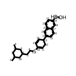 CC1CC(C)CC(CCSC2=CCC(c3ccc4cc(BO)ccc4c3)C=C2)C1